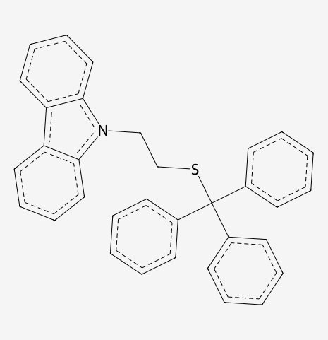 c1ccc(C(SCCn2c3ccccc3c3ccccc32)(c2ccccc2)c2ccccc2)cc1